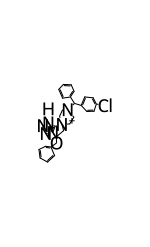 Clc1ccc(C(c2ccccc2)N2CC[N+](CCOc3ccccc3)(c3nnn[nH]3)CC2)cc1